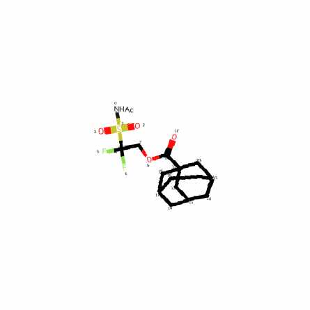 CC(=O)NS(=O)(=O)C(F)(F)COC(=O)C12CC3CC(CC(C3)C1)C2